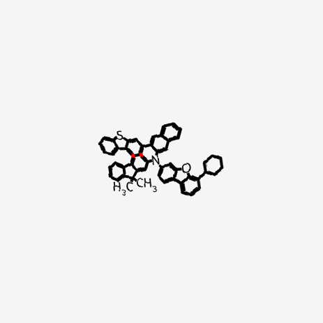 CC1(C)c2ccccc2-c2ccc(N(c3ccc4c(c3)oc3c(C5CCCCC5)cccc34)c3cc4ccccc4cc3-c3ccc4c(c3)sc3ccccc34)cc21